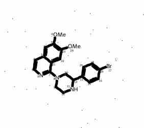 COc1cc2ccnc(N3CCNC(c4ccc(Br)cc4)C3)c2cc1OC